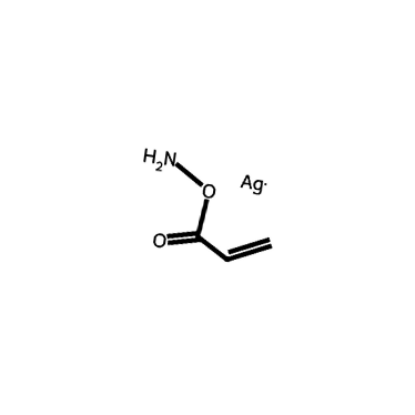 C=CC(=O)ON.[Ag]